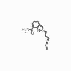 C=C=C=CCCn1cc2cccc(C(N)=O)c2n1